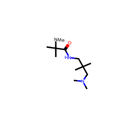 CNC(C)(C)C(=O)NCC(C)(C)CN(C)C